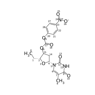 CC[C@H]1O[C@@H](n2cc(C)c(=O)[nH]c2=O)CC1OC(=O)Oc1ccc([N+](=O)[O-])cc1